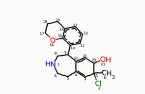 CC1(Cl)C=C2CCNCC(c3cccc4c3OCCC4)C2=CC1O